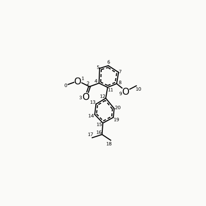 COC(=O)c1cccc(OC)c1-c1ccc(C(C)C)cc1